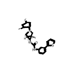 O=C(Nc1cccc(-c2cccs2)c1)N[C@H]1[C@@H]2CN(c3ccc(F)cc3F)C[C@@H]21